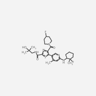 Cc1cc(NC2CCCCC2(C)F)ncc1-c1sc(C(=O)NCC(C)(C)O)nc1C(=O)N1CCC(F)CC1